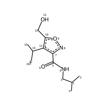 CC(C)CNC(=O)c1noc(CO)c1C(C)F